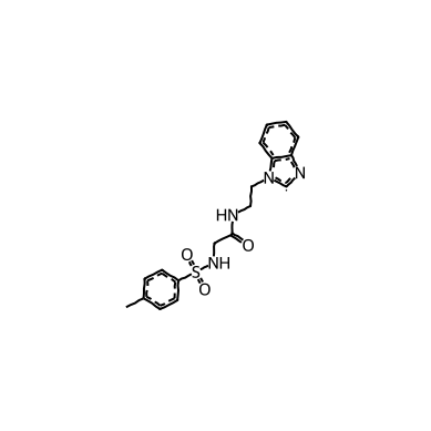 Cc1ccc(S(=O)(=O)NCC(=O)NCCn2[c]nc3ccccc32)cc1